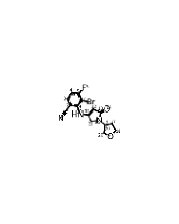 N#Cc1ccc(F)c(Br)c1NC1=CC(=O)N([C@H]2CCOC2)C1